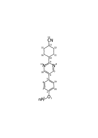 CCCOc1ccc(-c2cnc(C3CCC(C#N)CC3)nc2)cc1